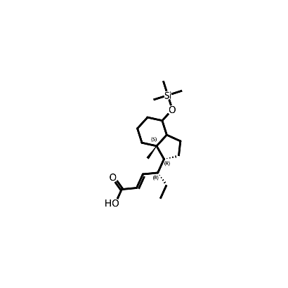 CC[C@H](C=CC(=O)O)[C@H]1CCC2C(O[Si](C)(C)C)CCC[C@]21C